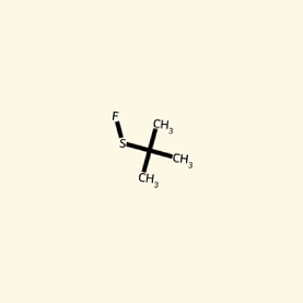 CC(C)(C)SF